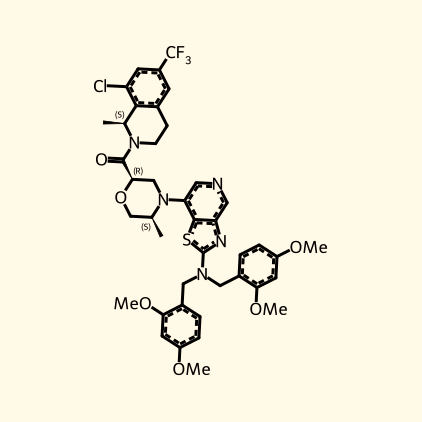 COc1ccc(CN(Cc2ccc(OC)cc2OC)c2nc3cncc(N4C[C@H](C(=O)N5CCc6cc(C(F)(F)F)cc(Cl)c6[C@@H]5C)OC[C@@H]4C)c3s2)c(OC)c1